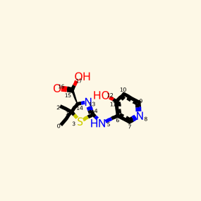 CC1(C)SC(Nc2cnccc2O)=N[C@@H]1C(=O)O